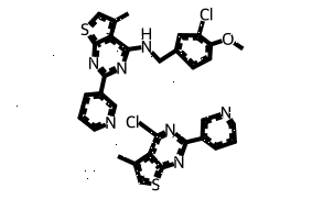 COc1ccc(CNc2nc(-c3cccnc3)nc3scc(C)c23)cc1Cl.Cc1csc2nc(-c3cccnc3)nc(Cl)c12